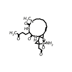 CC(=O)CCC1NC(=O)N(C)CCCCC=CC2CC2(C2CC2(CC=O)S(N)(=O)=O)NC1=O